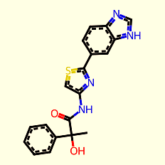 CC(O)(C(=O)Nc1csc(-c2ccc3nc[nH]c3c2)n1)c1ccccc1